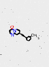 Cc1cccc(C#Cc2ccn3c(=O)ccnc3c2)c1